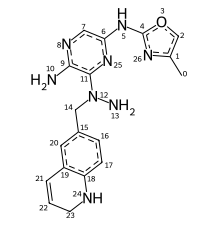 Cc1coc(Nc2cnc(N)c(N(N)Cc3ccc4c(c3)C=CCN4)n2)n1